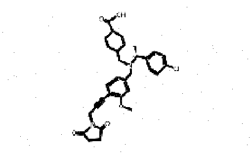 COc1cc(CN(CC2CCC(C(=O)O)CC2)[C@@H](C)c2ccc(Cl)cc2)ccc1C#CCN1C(=O)CCC1=O